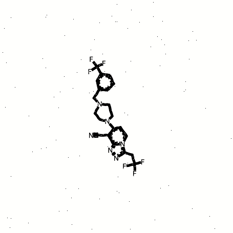 N#Cc1c(N2CCN(Cc3cccc(C(F)(F)F)c3)CC2)ccn2c(CC(F)(F)F)nnc12